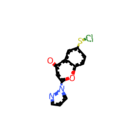 O=c1cc(-n2cccn2)oc2ccc(SCl)cc12